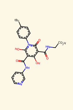 CC(C)(C)c1ccc(-n2c(O)c(C(=O)Nc3cccnc3)c(O)c(C(=O)NCC(=O)O)c2=O)cc1